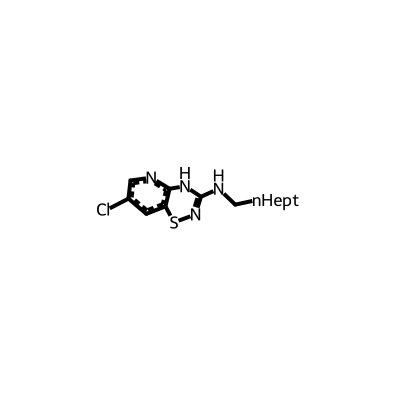 CCCCCCCCNC1=NSc2cc(Cl)cnc2N1